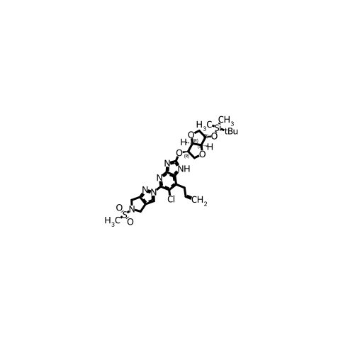 C=CCc1c(Cl)c(-n2cc3c(n2)CN(S(C)(=O)=O)C3)nc2nc(O[C@@H]3CO[C@H]4[C@@H]3OC[C@H]4O[Si](C)(C)C(C)(C)C)[nH]c12